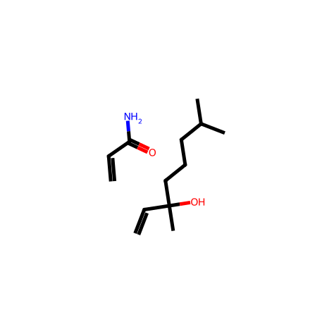 C=CC(C)(O)CCCC(C)C.C=CC(N)=O